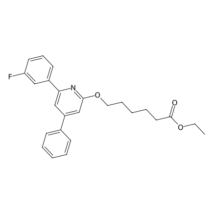 CCOC(=O)CCCCCOc1cc(-c2ccccc2)cc(-c2cccc(F)c2)n1